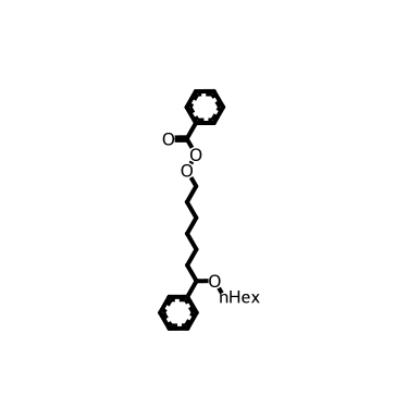 CCCCCCOC(CCCCCCOOC(=O)c1ccccc1)c1ccccc1